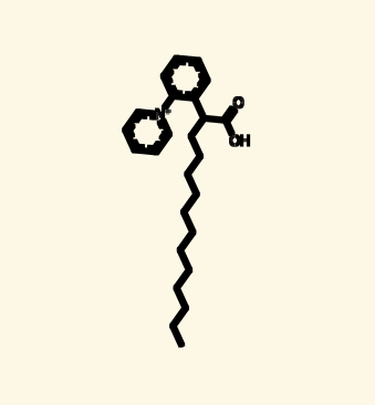 CCCCCCCCCCCCC(C(=O)O)c1ccccc1-[n+]1ccccc1